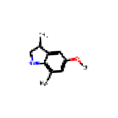 Cc1cc(OC(F)(F)F)cc2c1NCC2C